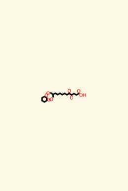 O=C(O)CCC(=O)C(=O)CCCCCCC1COOC2(CCCCC2)OOC1